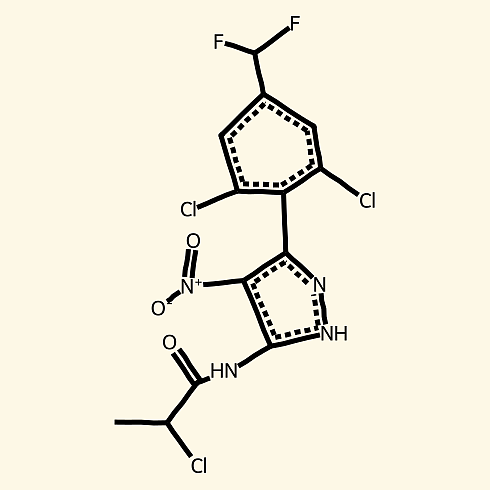 CC(Cl)C(=O)Nc1[nH]nc(-c2c(Cl)cc(C(F)F)cc2Cl)c1[N+](=O)[O-]